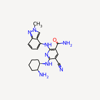 Cn1cc2c(Nc3nc(N[C@@H]4CCCC[C@@H]4N)c(C#N)cc3C(N)=O)cccc2n1